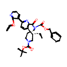 CCOc1ncccc1-c1ccc2c(n1)C(=O)N(C(=O)OCc1ccccc1)C[C@]21CCN(C(=O)OC(C)(C)C)C[C@H]1CC